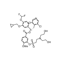 COc1ccc(C(=O)O[C@@H](Cc2c(Cl)cncc2Cl)c2ccc(OC(F)F)c(OCC3CC3)c2)cc1OS(=O)(=O)CCN(CCO)CCO